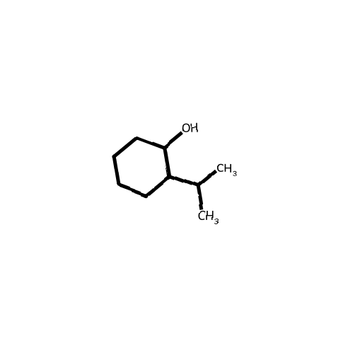 CC(C)C1CCCCC1O